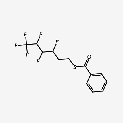 O=C(SCCC(F)C(F)C(F)C(F)(F)F)c1ccccc1